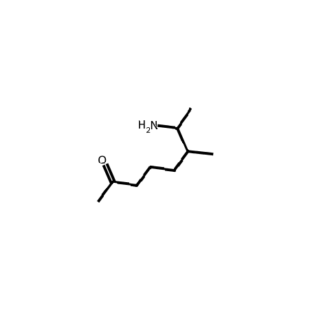 CC(=O)CCCC(C)C(C)N